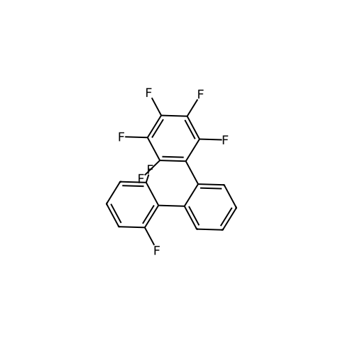 Fc1cccc(F)c1-c1ccccc1-c1c(F)c(F)c(F)c(F)c1F